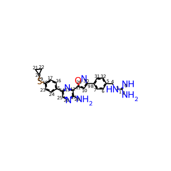 N=C(N)NCc1ccc(-c2cc(-c3nc(-c4ccc(SC5CC5)cc4)cnc3N)on2)cc1